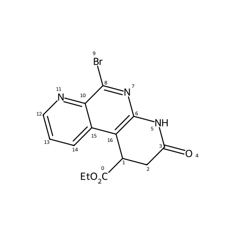 CCOC(=O)C1CC(=O)Nc2nc(Br)c3ncccc3c21